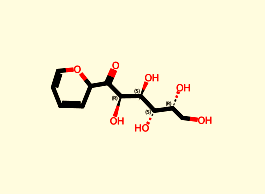 O=C(C1C=CC=CO1)[C@H](O)[C@@H](O)[C@@H](O)[C@H](O)CO